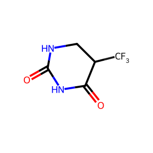 O=C1NCC(C(F)(F)F)C(=O)N1